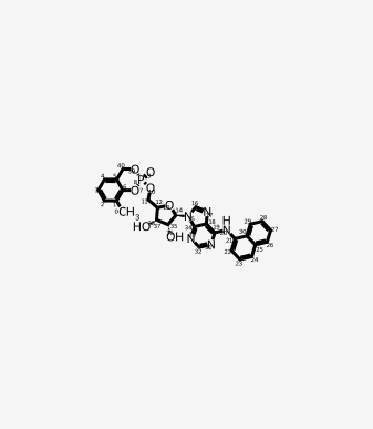 Cc1cccc2c1OP(=O)(OCC1O[C@@H](n3cnc4c(Nc5cccc6ccccc56)ncnc43)[C@H](O)[C@@H]1O)OC2